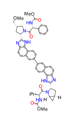 COC[C@H]1C[C@@H](c2nc3ccc4cc(-c5ccc6c(ccc7nc([C@@H]8C[C@H]9C[C@H]9N8C(=O)[C@@H](NC(=O)OC)C(C)C)[nH]c76)c5)ccc4c3[nH]2)N(C(=O)[C@H](NC(=O)OC)c2ccccc2)C1